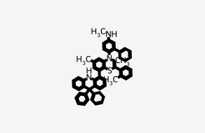 CNc1ccc(N2C(C)=C(c3ccccc3C)Sc3c(-c4cccc5c4Nc4ccccc4C5(C4=CC=CCC4)c4ccccc4)cc(C)cc32)c(C2=CC=CCC2)c1